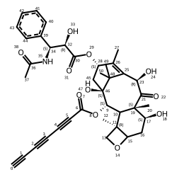 C#CC#CC#CC(=O)O[C@H]1C2[C@]3(C)COC3C[C@H](O)[C@@]2(C)C(=O)[C@H](O)C2=C(C)[C@@H](OC(=O)[C@H](O)[C@@H](NC(C)=O)c3ccccc3)C[C@]1(O)C2(C)C